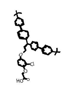 CC(C)(C)c1ccc(-c2ccc(C(=CCOc3ccc(OCC(=O)O)c(Cl)c3)c3ccc(-c4ccc(C(C)(C)C)cc4)cc3)cc2)cc1